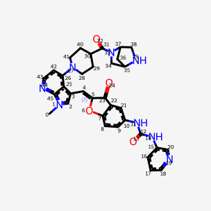 Cn1cc(/C=C2\Oc3ccc(NC(=O)Nc4cccnc4)cc3C2=O)c2c(N3CCC(C(=O)N4CC5CC4CN5)CC3)ccnc21